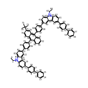 CCn1c2ccc(-c3ccc(-c4ccccc4)cc3)cc2c2cc(-c3ccc(-c4c5ccccc5c(-c5ccc(-c6ccc7c(c6)c6cc(-c8ccc(-c9ccccc9)cc8)ccc6n7CC)cc5)c5cc(C(C)(C)C)ccc45)cc3)ccc21